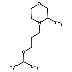 CC(C)OCCCN1CCOCC1C